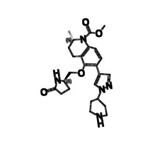 COC(=O)N1c2ccc(-c3cnn(C4CCNCC4)c3)c(OC[C@H]3CCC(=O)N3)c2CC[C@@H]1C